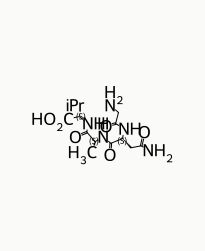 CC(C)[C@H](NC(=O)[C@H](C)NC(=O)[C@H](CC(N)=O)NC(=O)CN)C(=O)O